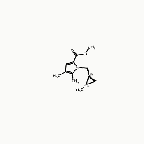 COC(=O)c1cc(C)c(C)n1C[C@H]1C[C@@H]1C